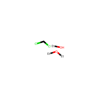 CCO.CCOCC.ClCCl